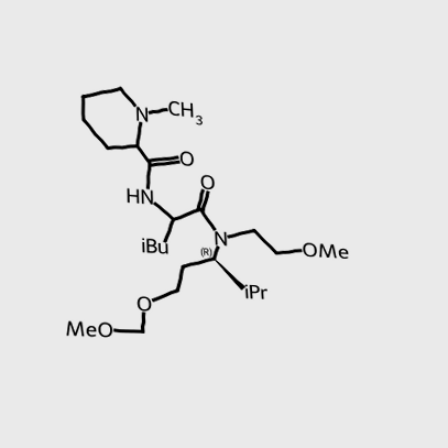 CCC(C)C(NC(=O)C1CCCCN1C)C(=O)N(CCOC)[C@H](CCOCOC)C(C)C